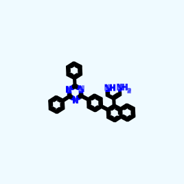 N=C/C(=C\N)c1c(-c2ccc(-c3nc(-c4ccccc4)nc(-c4ccccc4)n3)cc2)ccc2ccccc12